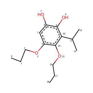 CCCOc1cc(O)c(O)c(C(C)C)c1OCCC